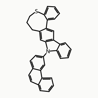 c1ccc2c(c1)SCCCc1cc3c(cc1-2)c1ccccc1n3-c1ccc2ccc3ccccc3c2c1